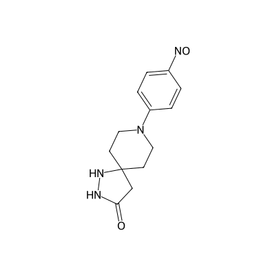 O=Nc1ccc(N2CCC3(CC2)CC(=O)NN3)cc1